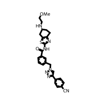 COCCN[C@@H]1CCc2nc(NC(=O)c3cccc(Cn4cc(-c5ccc(C#N)cc5)nn4)c3)sc2C1